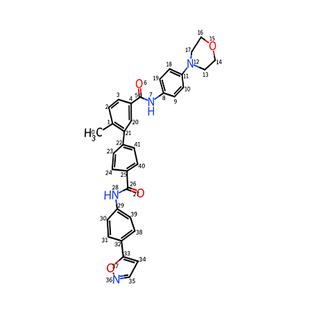 Cc1ccc(C(=O)Nc2ccc(N3CCOCC3)cc2)cc1-c1ccc(C(=O)Nc2ccc(-c3ccno3)cc2)cc1